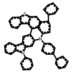 c1ccc(-c2ccc(N(c3ccc(-c4ccccc4)cc3)c3cc4c(cc3-c3cccc5sc6ccccc6c35)c3ccccc3n4-c3ccccc3)cc2)cc1